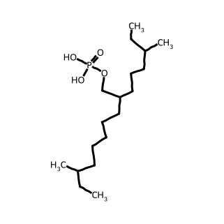 CCC(C)CCCCCC(CCCC(C)CC)COP(=O)(O)O